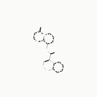 O=C(Sc1cccn2c(=O)ccnc12)C1=CNSc2ccccc21